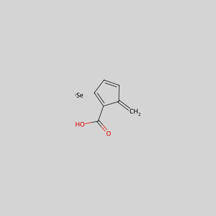 C=C1C=CC=C1C(=O)O.[Se]